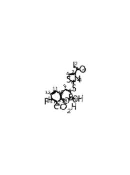 O=C(I)c1csc(S[C@H]2Cc3ccc(F)c(C(=O)O)c3OB2O)n1